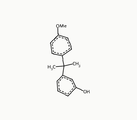 COc1ccc(C(C)(C)c2cccc(O)c2)cc1